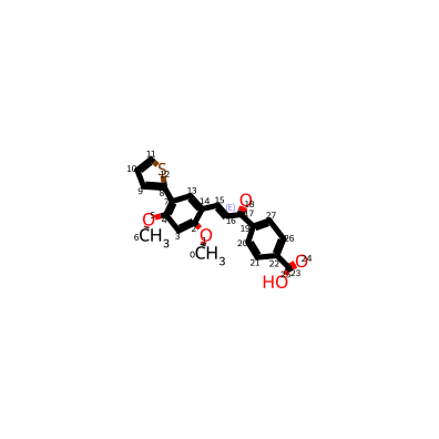 COc1cc(OC)c(-c2cccs2)cc1/C=C/C(=O)c1ccc(C(=O)O)cc1